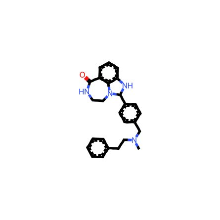 CN(CCc1ccccc1)Cc1ccc(C2Nc3cccc4c3N2CCNC4=O)cc1